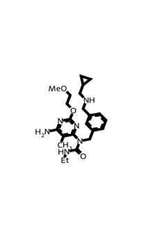 CCNC(=O)N(Cc1cccc(CNCC2CC2)c1)c1nc(OCCOC)nc(N)c1C